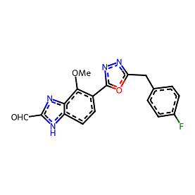 COc1c(-c2nnc(Cc3ccc(F)cc3)o2)ccc2[nH]c(C=O)nc12